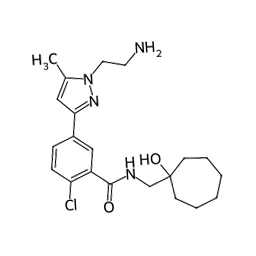 Cc1cc(-c2ccc(Cl)c(C(=O)NCC3(O)CCCCCC3)c2)nn1CCN